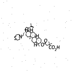 C=C(C)[C@@H]1CC[C@]2(CCN3CCSCC3)CC[C@]3(C)[C@H](CC[C@@H]4[C@@]5(C)CC[C@H](OC(=O)CC(C)(C)C(=O)O)C(C)(C)[C@@H]5CC[C@]43C)[C@@H]12